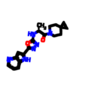 C[C@@H](Nc1nnc(-c2cc3ncccc3[nH]2)o1)C(=O)N1CCC2(CC1)CC2